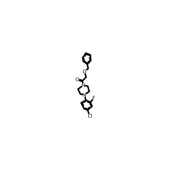 O=C(COCc1ccccc1)N1CCN(c2ccc(Cl)cc2F)CC1